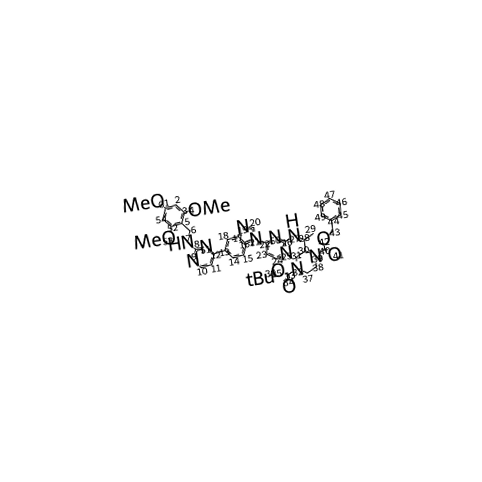 COc1cc(OC)c(CNc2nccc(-c3ccc4c(c3)ncn4-c3ccnc(NC(C)C4CN(C(=O)OC(C)(C)C)CCN4C(=O)OCc4ccccc4)n3)n2)c(OC)c1